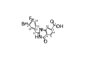 O=C(O)c1ccc2c(=O)[nH]c(Cc3ccc(F)c(Br)c3)nc2c1